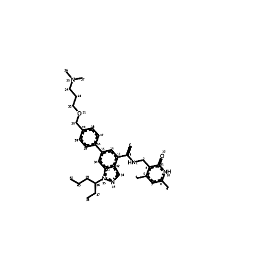 C=C(NCc1c(C)cc(C)[nH]c1=O)c1cc(-c2ccc(COCCCN(C)C)cc2)cc2c1cnn2C(CC)CCC